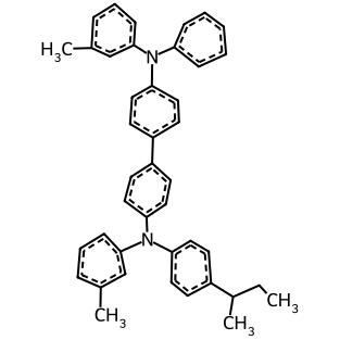 CCC(C)c1ccc(N(c2ccc(-c3ccc(N(c4ccccc4)c4cccc(C)c4)cc3)cc2)c2cccc(C)c2)cc1